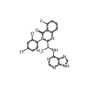 CC(Nc1ncnc2[nH]cnc12)c1nc2cccc(F)c2c(=O)n1-c1ccc(Cl)cc1Cl